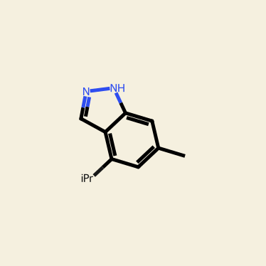 Cc1cc(C(C)C)c2cn[nH]c2c1